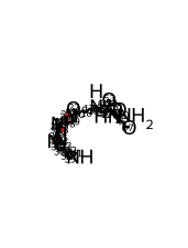 NC(=O)C(CCC=O)NC(=O)c1ccc(NCCCCCC(=O)N2CCC(n3cc(-c4cnc5ccc(C6=CCNCC6)cc5n4)cn3)CC2)cc1C=O